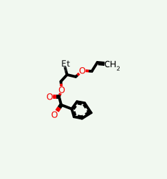 C=CCOCC(CC)COC(=O)C(=O)c1ccccc1